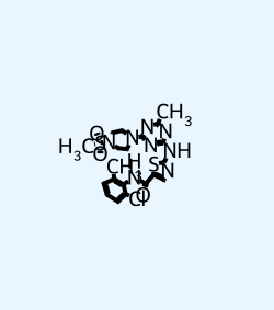 Cc1nc(Nc2ncc(C(=O)Nc3c(C)cccc3Cl)s2)nc(N2CCN(S(C)(=O)=O)CC2)n1